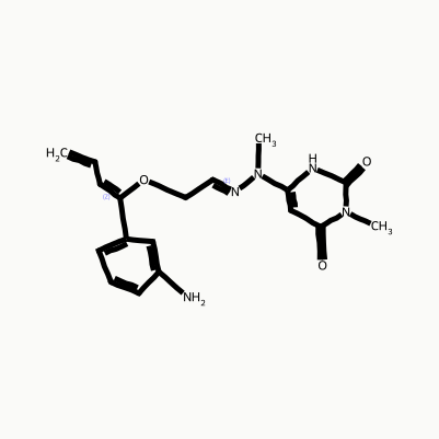 C=C/C=C(\OC/C=N/N(C)c1cc(=O)n(C)c(=O)[nH]1)c1cccc(N)c1